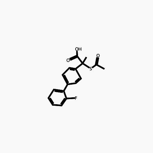 CC(=O)SC(C)(C(=O)O)c1ccc(-c2ccccc2F)cc1